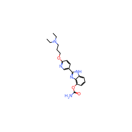 CCN(CC)CCCOc1ccc(-c2nc3c(OC(N)=O)cccc3[nH]2)cn1